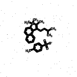 CC1=C(CCC(C)C)c2c(ccc3ccccc23)[N+]1(C)C.Cc1ccc(S(=O)(=O)[O-])cc1